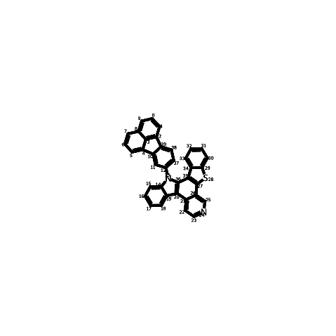 c1cc2c3c(cccc3c1)-c1cc(-n3c4ccccc4c4c5ccncc5c5sc6ccccc6c5c43)ccc1-2